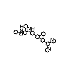 c1ccc(C2Nc3c(ccc4c3-c3ccccc3NC4c3ccc(-c4ccc5c6ccc(-c7cc(-c8ccccn8)cc(-c8ccccn8)c7)cc6c6ccccc6c5c4)cc3)O2)cc1